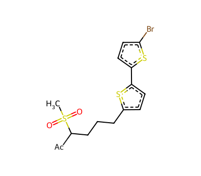 CC(=O)C(CCCc1ccc(-c2ccc(Br)s2)s1)S(C)(=O)=O